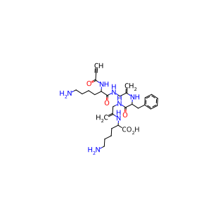 C#CC(=O)NC(CCCCN)C(=O)NCC(=C)NC(Cc1ccccc1)C(=O)NCC(=C)NC(CCCCN)C(=O)O